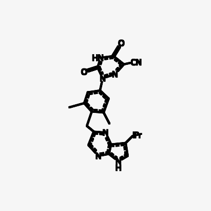 Cc1cc(-n2nc(C#N)c(=O)[nH]c2=O)cc(C)c1Cc1cnc2[nH]cc(C(C)C)c2n1